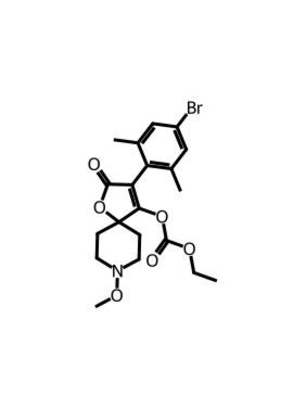 CCOC(=O)OC1=C(c2c(C)cc(Br)cc2C)C(=O)OC12CCN(OC)CC2